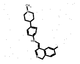 CN1CCC(c2ccc(N/C=C3\C=NCc4ccc(I)cc43)cc2)CC1